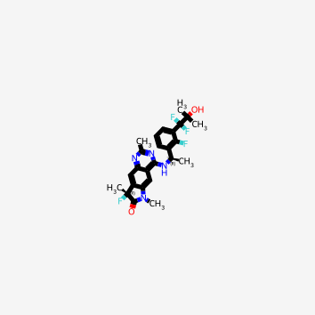 Cc1nc(N[C@H](C)c2cccc(C(F)(F)C(C)(C)O)c2F)c2cc3c(cc2n1)[C@@](C)(F)C(=O)N3C